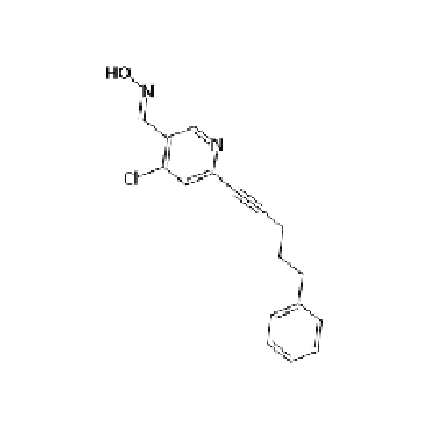 O/N=C/c1cnc(C#CCCCc2ccccc2)cc1Cl